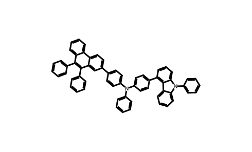 c1ccc(-c2c(-c3ccccc3)c3cc(-c4ccc(N(c5ccccc5)c5ccc(-c6cccc7c6c6ccccc6n7-c6ccccc6)cc5)cc4)ccc3c3ccccc23)cc1